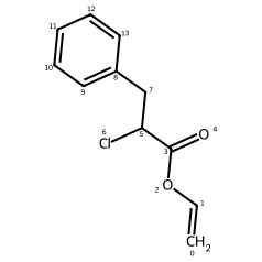 C=COC(=O)C(Cl)Cc1ccccc1